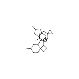 CC1CC2COC(C3CC(C)CCC34CCC4C3CC4(CCC3C)CC4)C2C1